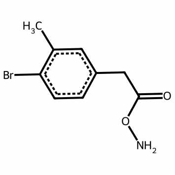 Cc1cc(CC(=O)ON)ccc1Br